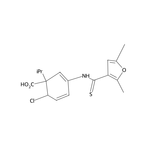 Cc1cc(C(=S)NC2=CC(C(=O)O)(C(C)C)C(Cl)C=C2)c(C)o1